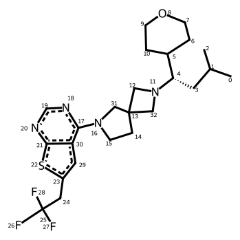 CC(C)C[C@@H](C1CCOCC1)N1CC2(CCN(c3ncnc4sc(CC(F)(F)F)cc34)C2)C1